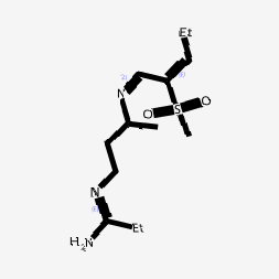 CC/C=C(\C=N/C(C)CC/N=C(/N)CC)S(C)(=O)=O